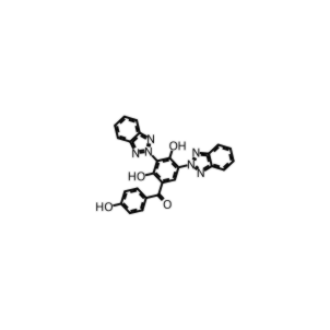 O=C(c1ccc(O)cc1)c1cc(-n2nc3ccccc3n2)c(O)c(-n2nc3ccccc3n2)c1O